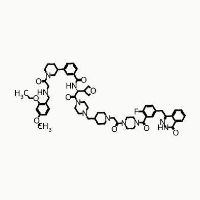 CCOc1cc(OC)ccc1CNCC(=O)N1CCCC(c2cccc(C(=O)N[C@@H](C(=O)N3CCN(CC4CCN(CC(=O)N5CCN(C(=O)c6cc(Cc7n[nH]c(=O)c8ccccc78)ccc6F)CC5)CC4)CC3)C3COC3)c2)C1